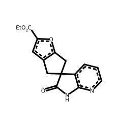 CCOC(=O)c1cc2c(o1)CC1(C2)C(=O)Nc2ncccc21